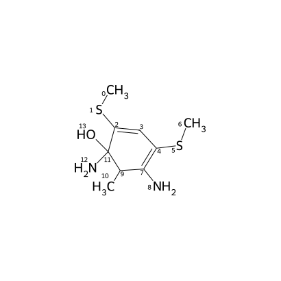 CSC1=CC(SC)=C(N)C(C)C1(N)O